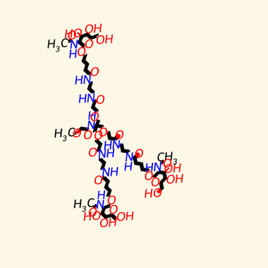 COCC(=O)NC(COCCC(=O)NCCCNC(=O)CCCCO[C@@H]1OC(CO)[C@H](O)[C@H](O)C1NC(C)=O)(COCCC(=O)NCCCNC(=O)CCCCO[C@@H]1OC(CO)[C@H](O)[C@H](O)C1NC(C)=O)COCCC(=O)NCCCNC(=O)CCCCO[C@@H]1OC(CO)[C@H](O)[C@H](O)C1NC(C)=O